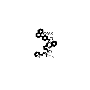 COc1cc(C(=O)N2C=C3CC=C(C(=O)N(C)CCc4ccccn4)N3Cc3ccccc32)ccc1-c1cccc2ccccc12